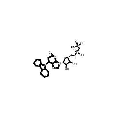 O=P(O)(O)CP(=O)(O)NC[C@H]1O[C@@H](n2cnc3c(-n4c5ccccc5c5ccccc54)nc(Cl)nc32)C(O)C1O